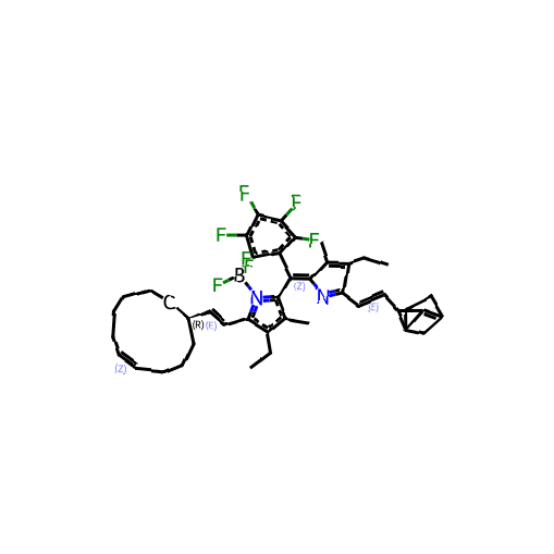 CCC1=C(C)/C(=C(\c2c(F)c(F)c(F)c(F)c2F)c2c(C)c(CC)c(/C=C/[C@H]3CCC/C=C\CCCCC3)n2B(F)F)N=C1/C=C/C1C2=C3CCC21C3